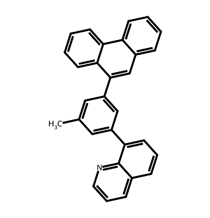 Cc1cc(-c2cc3ccccc3c3ccccc23)cc(-c2cccc3cccnc23)c1